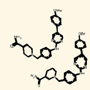 COc1ccc(-c2cnc(Nc3ccc(CN4CCC(C(N)=O)CC4)cc3)nc2)cc1.COc1ccc(-c2cnc(Nc3ccc(CN4CCCC(C(N)=O)C4)cc3)nc2)cc1